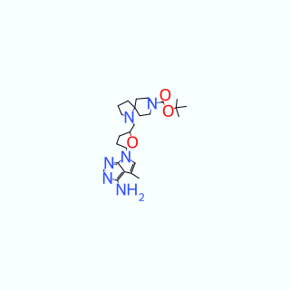 Cc1cn(C2CCC(CN3CCCC34CCN(C(=O)OC(C)(C)C)CC4)O2)c2ncnc(N)c12